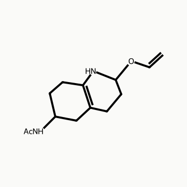 C=COC1CCC2=C(CCC(NC(C)=O)C2)N1